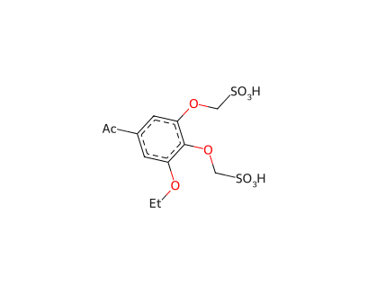 CCOc1cc(C(C)=O)cc(OCS(=O)(=O)O)c1OCS(=O)(=O)O